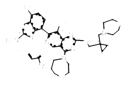 C=CC(=O)N[C@H]1COCCN(c2nc(OCC3(CN4CCOCC4)CC3)nc3c(F)c(-c4ccc(F)c5sc(N)nc45)ncc23)C1